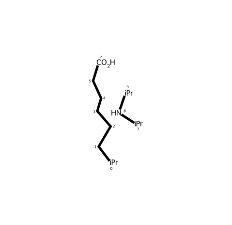 CC(C)CCCCCC(=O)O.CC(C)NC(C)C